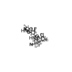 Cc1cc(Oc2c(C)cc(C(=O)N[C@H](C)C(=O)N3C(c4cc(F)cc(Cl)c4)CC[C@@H]3C(C)(C)C#N)cc2F)c(=O)[nH]n1